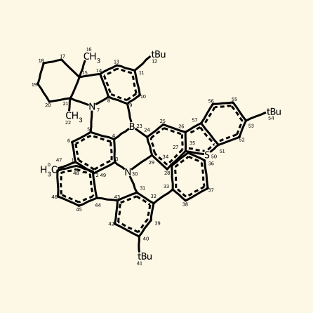 Cc1cc2c3c(c1)N1c4c(cc(C(C)(C)C)cc4C4(C)CCCCC14C)B3c1cc3c(cc1N2c1c(-c2ccccc2)cc(C(C)(C)C)cc1-c1ccccc1)sc1cc(C(C)(C)C)ccc13